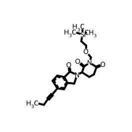 CCC#Cc1ccc2c(c1)CN(C1CCC(=O)N(COCC[Si](C)(C)C)C1=O)C2=O